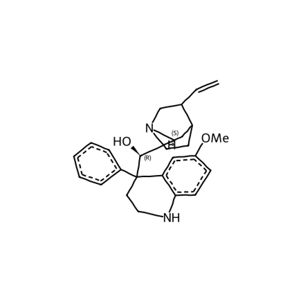 C=CC1CN2CCC1C[C@H]2[C@H](O)C1(c2ccccc2)CCNc2ccc(OC)cc21